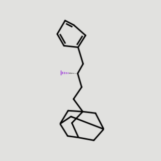 I[C@@H](CCC12CC3CC(CC(C3)C1)C2)Cc1ccccc1